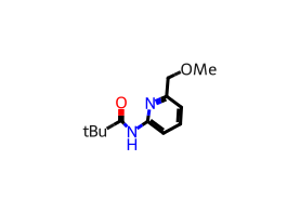 COCc1cccc(NC(=O)C(C)(C)C)n1